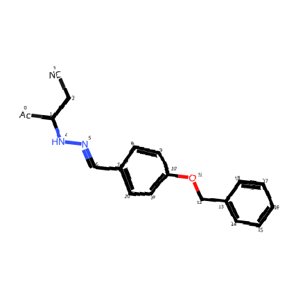 CC(=O)C(CC#N)NN=Cc1ccc(OCc2ccccc2)cc1